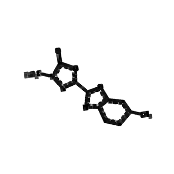 CCOC(=O)n1nc(-c2nc3ccc(C)cc3o2)oc1=O